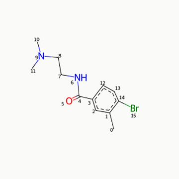 Cc1cc(C(=O)NCCN(C)C)ccc1Br